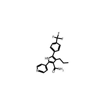 CCCc1c(-c2ccc(C(F)(F)F)cc2)[nH]c(-c2ccncc2)c1C(N)=O